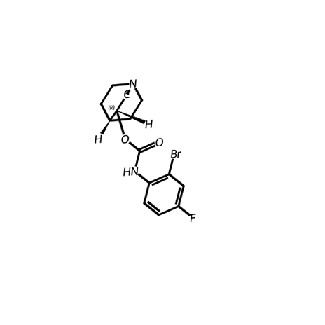 O=C(Nc1ccc(F)cc1Br)O[C@H]1C[N@]2CC[C@H]1CC2